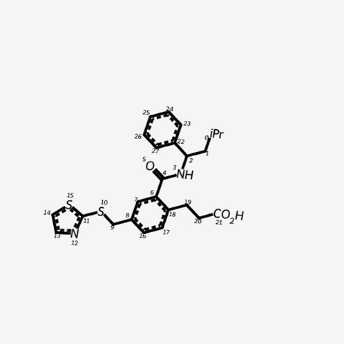 CC(C)CC(NC(=O)c1cc(CSc2nccs2)ccc1CCC(=O)O)c1ccccc1